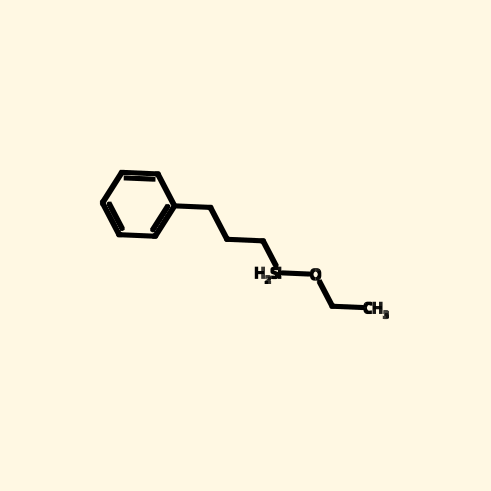 CCO[SiH2]CCCc1ccccc1